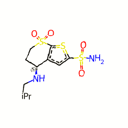 CC(C)CN[C@H]1CCS(=O)(=O)c2sc(S(N)(=O)=O)cc21